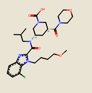 COCCCCn1c(C(=O)N(CC(C)C)[C@H]2C[C@@H](C(=O)N3CCOCC3)CN(C(=O)O)C2)nc2cccc(F)c21